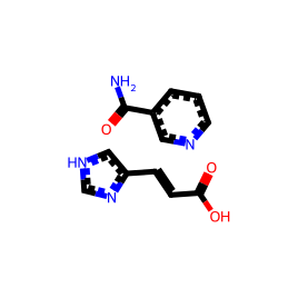 NC(=O)c1cccnc1.O=C(O)C=Cc1c[nH]cn1